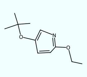 CCOc1ccc(OC(C)(C)C)cn1